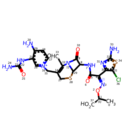 C[C@H](O/N=C(\C(=O)NC1C(=O)N2C(C=O)=C(C[n+]3ccc(N)c(NC(N)=O)c3)CSC12)c1nc(N)sc1Cl)C(=O)O